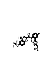 Cc1ccc(NC(=O)C2CNc3cc(OC(C)(F)F)ccc3O2)c(-c2nc(CN(C)C)no2)c1